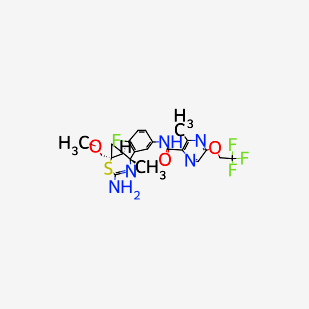 COC[C@]12C[C@H]1[C@](C)(c1cc(NC(=O)c3ncc(OCC(F)(F)F)nc3C)ccc1F)N=C(N)S2